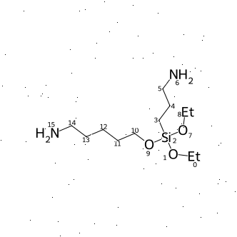 CCO[Si](CCCN)(OCC)OCCCCCN